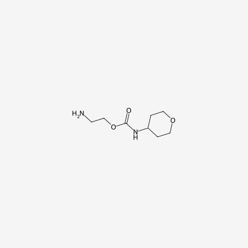 NCCOC(=O)NC1CCOCC1